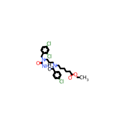 CCOC(=O)CCCCCN(CCCN(Cc1ccc(Cl)cc1Cl)C(N)=O)C(C)c1ccc(Cl)cc1